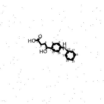 O=C(O)CCC(O)c1ccc(Nc2ccccc2)cc1